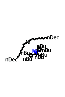 CCCCC1=C(c2cc(CCCC)cc(CCCC)c2)[N+](=[N-])C(c2cc(CCCC)cc(CCCC)c2)=C1CCCC.CCCCCCCCCCCCCCCCCCCCC#[C][Ni][C]#CCCCCCCCCCCCCCCCCCCCC